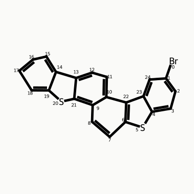 Brc1ccc2sc3ccc4c(ccc5c6ccccc6sc54)c3c2c1